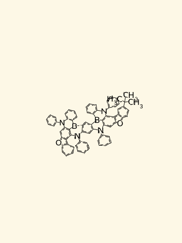 CC(C)(C)c1ccc2oc3cc4c5c(c3c2c1)N(c1ccccc1)c1ccccc1B5c1cc2c(cc1N4c1ccccc1)N(c1ccccc1)c1c3c(cc4oc5ccccc5c14)N(c1ccccc1)c1ccccc1B23